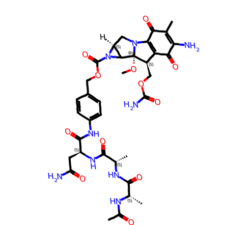 CO[C@]12C3[C@H](CN1C1=C(C(=O)C(N)=C(C)C1=O)[C@H]2COC(N)=O)N3C(=O)OCc1ccc(NC(=O)[C@H](CC(N)=O)NC(=O)[C@H](C)NC(=O)[C@H](C)NC(C)=O)cc1